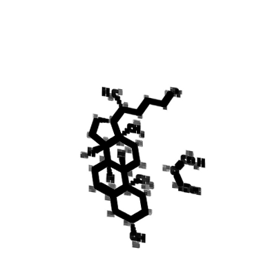 CC(C)CCC[C@@H](C)[C@H]1CC[C@H]2[C@@H]3CC=C4C[C@@H](O)CC[C@]4(C)[C@H]3CC[C@]12C.CCCCCCCCCCOC(=O)O